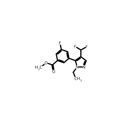 CCn1ncc(C(F)F)c1-c1cc(F)cc(C(=O)OC)c1